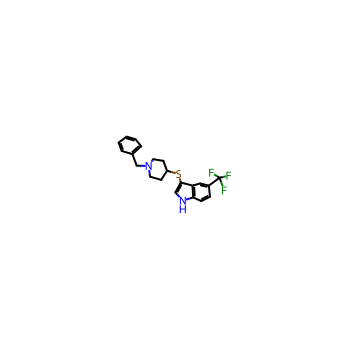 FC(F)(F)c1ccc2[nH]cc(SC3CCN(Cc4ccccc4)CC3)c2c1